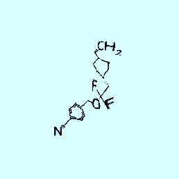 C=C[C@H]1CC[C@H](CC(F)(F)OCc2ccc(C#N)cc2)CC1